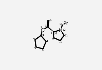 C=C(OC1CCCC1)[C@@H]1CCCN1C(C)C